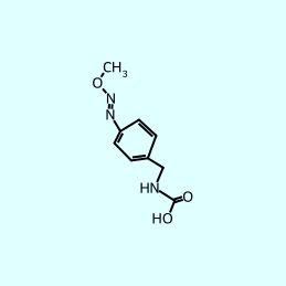 CON=Nc1ccc(CNC(=O)O)cc1